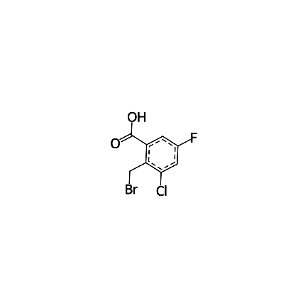 O=C(O)c1cc(F)cc(Cl)c1CBr